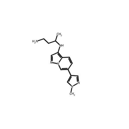 CC(CCN)Nc1cnn2cc(-c3cnn(C)c3)ccc12